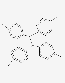 Cc1ccc(C(c2ccc(C)cc2)C(c2ccc(C)cc2)c2ccc(C)cc2)cc1